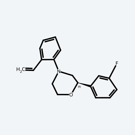 C=Cc1ccccc1N1CCO[C@H](c2cccc(F)c2)C1